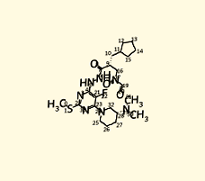 CSc1nc(NNC(=O)[C@H](CC2CCCC2)CN(O)C=O)c(F)c(N2CCC[C@@H](N(C)C)C2)n1